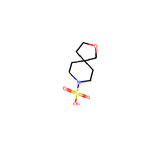 O=S(=O)(O)N1CCC2(CCOC2)CC1